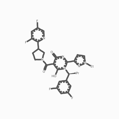 CCn1ccc(-c2nc(=O)c(C(=O)N3CCC(c4ncc(F)cc4F)C3)c(O)n2[C@H](c2cc(F)cc(F)c2)C(C)C)n1